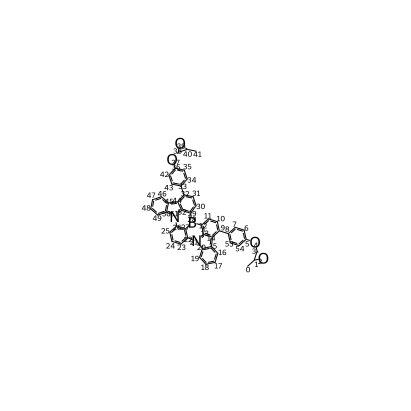 CC1OC1Oc1ccc(-c2ccc3c4c2c2ccccc2n4-c2cccc4c2B3c2ccc(-c3ccc(OC5OC5C)cc3)c3c5ccccc5n-4c23)cc1